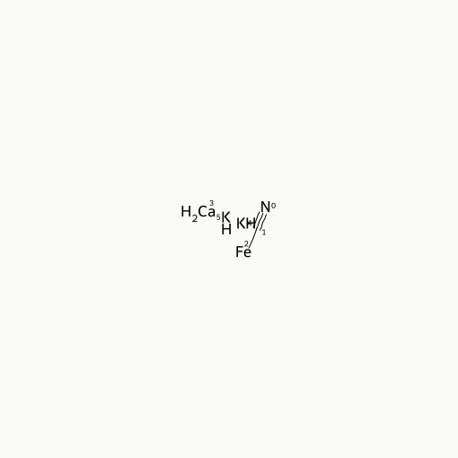 N#[C][Fe].[CaH2].[KH].[KH]